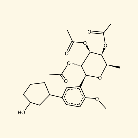 COc1ccc(C2CCCC(O)C2)cc1[C@@H]1O[C@H](C)[C@H](OC(C)=O)[C@H](OC(C)=O)[C@H]1OC(C)=O